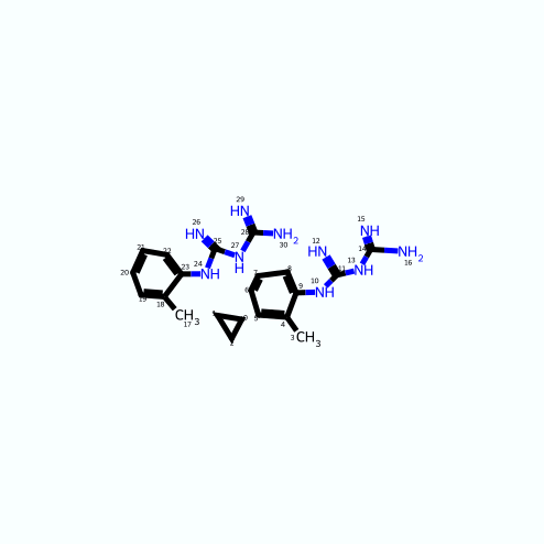 C1CC1.Cc1ccccc1NC(=N)NC(=N)N.Cc1ccccc1NC(=N)NC(=N)N